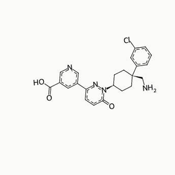 NC[C@]1(c2cccc(Cl)c2)CC[C@H](n2nc(-c3cncc(C(=O)O)c3)ccc2=O)CC1